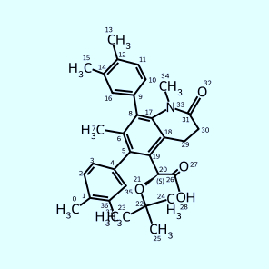 Cc1ccc(-c2c(C)c(-c3ccc(C)c(C)c3)c3c(c2[C@H](OC(C)(C)C)C(=O)O)CCC(=O)N3C)cc1C